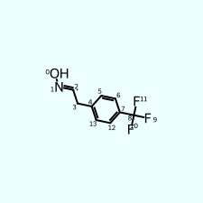 ON=[C]Cc1ccc(C(F)(F)F)cc1